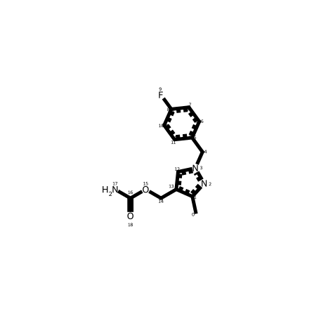 Cc1nn(Cc2ccc(F)cc2)cc1COC(N)=O